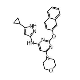 c1ccc2cc(Oc3nc(Nc4cc(C5CC5)[nH]n4)cc(N4CCOCC4)n3)ccc2c1